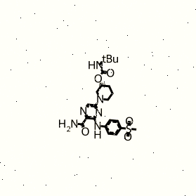 CC(C)(C)NC(=O)O[C@@H]1CCCN(c2cnc(C(N)=O)c(Nc3ccc(S(C)(=O)=O)cc3)n2)C1